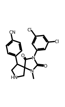 CN1C(=O)N(c2cc(Cl)cc(Cl)c2)C(=O)C12CNCC2c1ccc(C#N)cc1